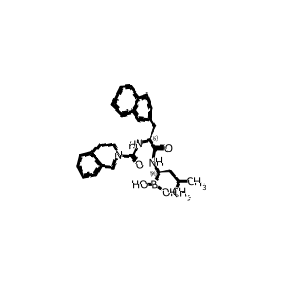 CC(C)C[C@H](NC(=O)[C@H](Cc1ccc2ccccc2c1)NC(=O)N1CCc2ccccc2C1)B(O)O